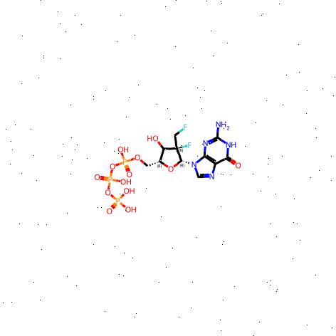 Nc1nc2c(ncn2[C@@H]2O[C@H](COP(=O)(O)OP(=O)(O)OP(=O)(O)O)C(O)[C@]2(F)CF)c(=O)[nH]1